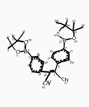 CC1(C)OB(c2ccc(C(C#N)=C(C#N)c3ccc(B4OC(C)(C)C(C)(C)O4)cc3)cc2)OC1(C)C